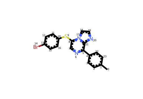 Cc1ccc(-c2ncc(Sc3ccc(Br)cc3)n3ccnc23)cc1